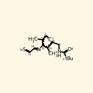 Cc1ccc(CNC(=O)C(C)(C)C)c(C)c1N=CC=S